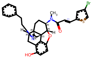 CN(C(=O)/C=C/c1cc(Br)cs1)[C@@H]1CC[C@H]2[C@H]3Cc4c(O)ccc5c4[C@@]2(CCN3CCc2ccccc2)[C@H]1O5